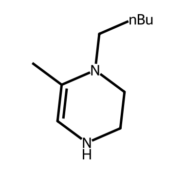 CCCCCN1CCNC=C1C